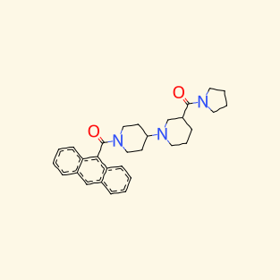 O=C(c1c2ccccc2cc2ccccc12)N1CCC(N2CCCC(C(=O)N3CCCC3)C2)CC1